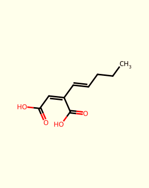 CCCC=CC(=CC(=O)O)C(=O)O